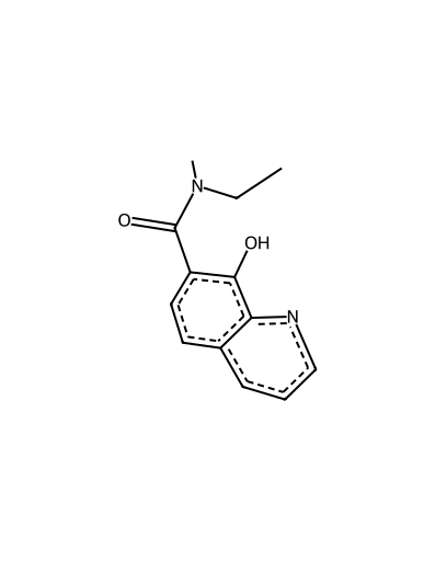 CCN(C)C(=O)c1ccc2cccnc2c1O